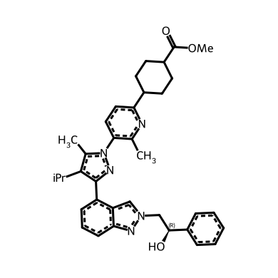 COC(=O)C1CCC(c2ccc(-n3nc(-c4cccc5nn(C[C@H](O)c6ccccc6)cc45)c(C(C)C)c3C)c(C)n2)CC1